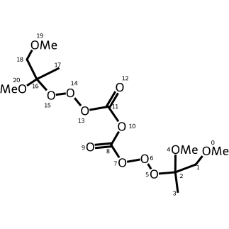 COCC(C)(OC)OOOC(=O)OC(=O)OOOC(C)(COC)OC